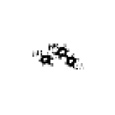 Cc1ccc(O)cc1OCc1cc(-c2ccc(O)cc2)ccc1O